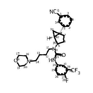 N#Cc1cccc([C@]23CC[C@@H](N(CCCCN4CCOCC4)C(=O)Nc4ccc(F)c(C(F)(F)F)c4)[C@H]2C3)c1